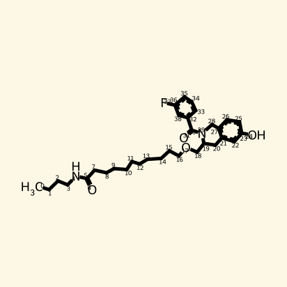 CCCCNC(=O)CCCCCCCCCCOCC1Cc2cc(O)ccc2CN1C(=O)c1cccc(F)c1